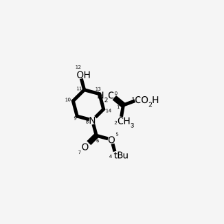 C=C(C)C(=O)O.CC(C)(C)OC(=O)N1CCC(O)CC1